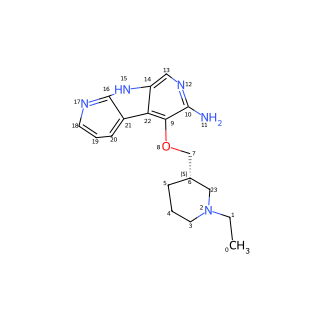 CCN1CCC[C@H](COc2c(N)ncc3[nH]c4ncccc4c23)C1